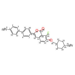 CCCc1ccc(-c2ccc(-c3cc4ccc(OCC5CCC(CCC)CC5)c(F)c4c(=O)o3)cc2)cc1